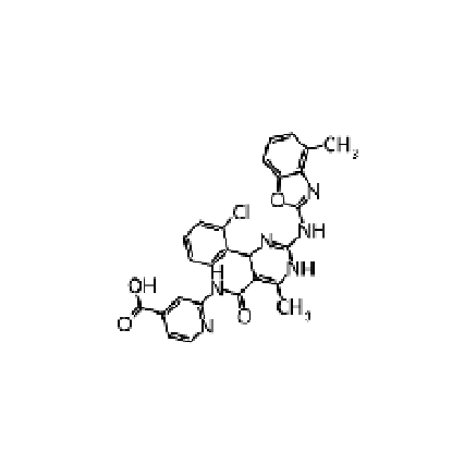 CC1=C(C(=O)Nc2cc(C(=O)O)ccn2)C(c2ccccc2Cl)N=C(Nc2nc3c(C)cccc3o2)N1